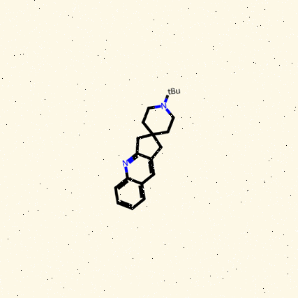 CC(C)(C)N1CCC2(CC1)Cc1cc3ccccc3nc1C2